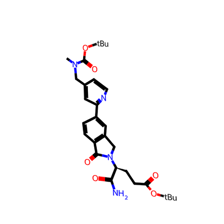 CN(Cc1ccnc(-c2ccc3c(c2)CN([C@@H](CCC(=O)OC(C)(C)C)C(N)=O)C3=O)c1)C(=O)OC(C)(C)C